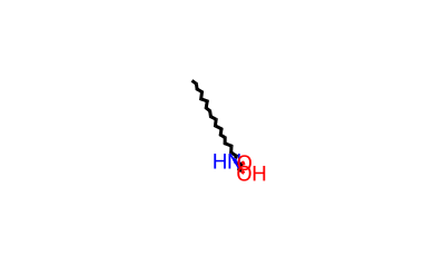 CCCCCCCCCCCCCCCCCCNC(=O)CO